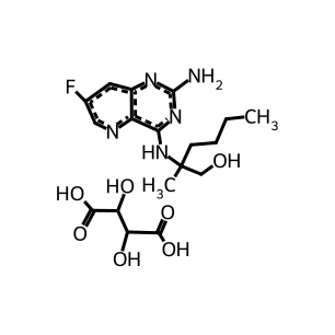 CCCCC(C)(CO)Nc1nc(N)nc2cc(F)cnc12.O=C(O)C(O)C(O)C(=O)O